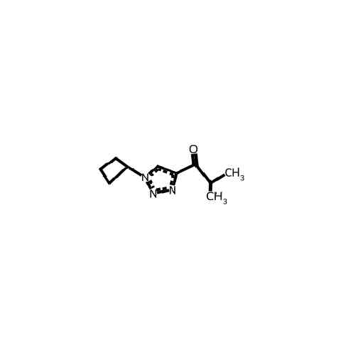 CC(C)C(=O)c1cn(C2CCC2)nn1